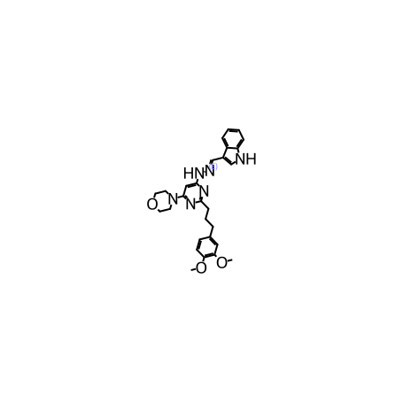 COc1ccc(CCCc2nc(N/N=C/c3c[nH]c4ccccc34)cc(N3CCOCC3)n2)cc1OC